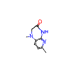 Cc1ccc2c(n1)NC(=O)CN2C